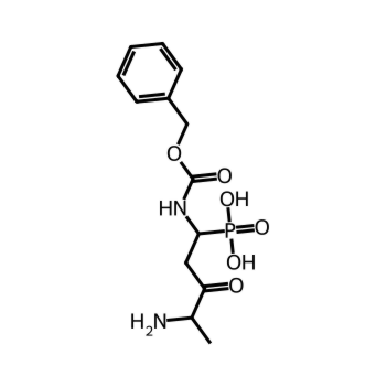 CC(N)C(=O)CC(NC(=O)OCc1ccccc1)P(=O)(O)O